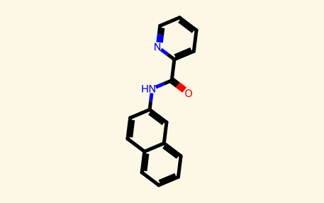 O=C(Nc1ccc2ccccc2c1)c1ccccn1